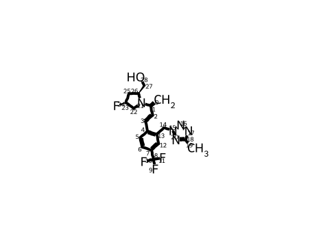 C=C(/C=C/c1ccc(C(F)(F)F)cc1Cn1nnc(C)n1)N1C[C@@H](F)C[C@H]1CO